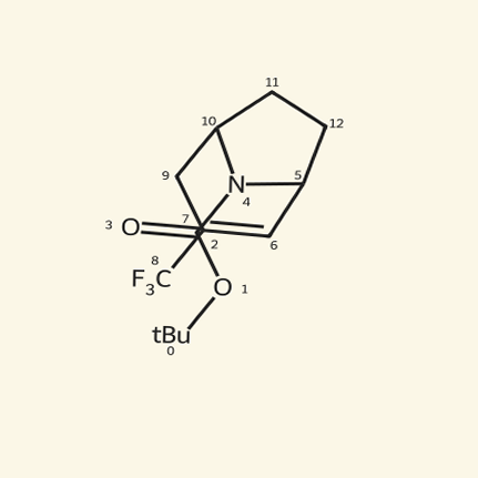 CC(C)(C)OC(=O)N1C2C=C(C(F)(F)F)CC1CC2